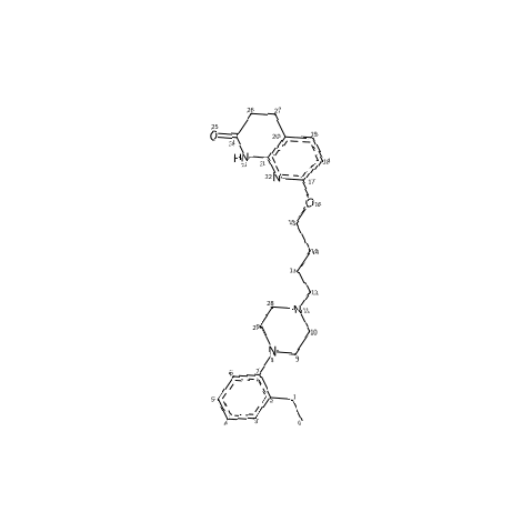 CCc1ccccc1N1CCN(CCCCOc2ccc3c(n2)NC(=O)CC3)CC1